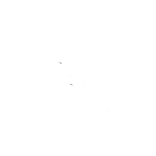 CN(C)[C@H](CNC(=O)C[C@@H](c1ccccc1)C1CC1)Cc1ccc2[nH]c(=O)oc2c1